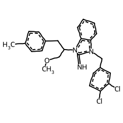 COCC(Cc1ccc(C)cc1)n1c(=N)n(Cc2ccc(Cl)c(Cl)c2)c2ccccc21